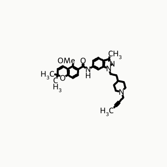 CC#CCN1CCC(CCn2nc(C)c3ccc(NC(=O)c4ccc5c(c4OC)C=CC(C)(C)O5)cc32)CC1